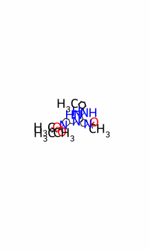 CC(=O)N1CCC(NCC2CCCN(C(=O)OC(C)(C)C)C2)=C(C(=N)Nc2cccc(C)c2)C1